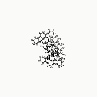 c1ccc(-n2c3ccccc3c3ccc4c5ccccc5n(-c5ccc(-c6cc(-n7c8ccccc8c8ccc9c%10ccccc%10n(-c%10ccccc%10)c9c87)nc(-n7c8ccccc8c8ccc9c%10ccccc%10n(-c%10ccccc%10)c9c87)c6)cc5)c4c32)cc1